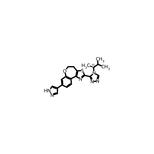 CC(C)[C@H](C)n1cnnc1-c1nc2c(s1)CCOc1cc(-c3cn[nH]c3)ccc1-2